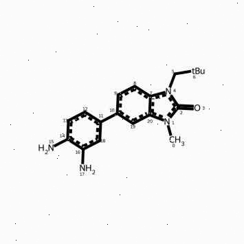 Cn1c(=O)n(CC(C)(C)C)c2ccc(-c3ccc(N)c(N)c3)cc21